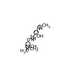 Cc1ccn(-c2ccc(-c3nnc(OC4CC5CC(C)C(C)C(C)(C4)N5)s3)c(O)c2)n1